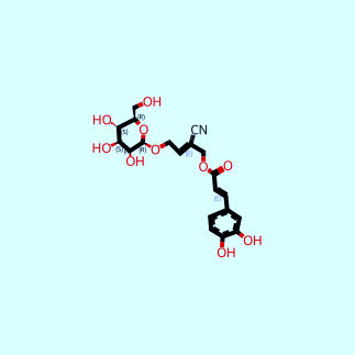 N#C/C(=C\CO[C@@H]1O[C@H](CO)[C@@H](O)[C@H](O)[C@H]1O)COC(=O)/C=C/c1ccc(O)c(O)c1